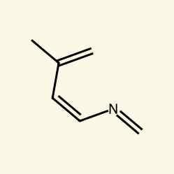 C=N/C=C\C(=C)C